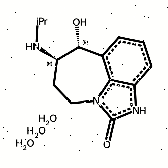 CC(C)N[C@@H]1CCn2c(=O)[nH]c3cccc(c32)[C@H]1O.O.O.O